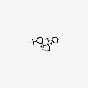 CC(C)(C)c1ccc2c(c1)[C@H]1OCCC[C@H]1[C@@H](c1ccccc1)N2